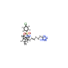 CC1(C)[C@H]2C[C@H](CC=CCCCc3nnn[nH]3)[C@@H](NS(=O)(=O)c3ccc(Cl)cc3)[C@@H]1C2